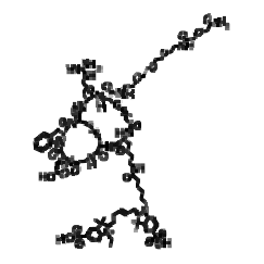 CC[N+]1=C(/C=C/C=C/C=C2/N(CCCCCC(=O)NCCCC[C@@H]3NC(=O)CSC[C@@H](C(=O)NCCOCCOCCOCCNC(=O)COCC(N)=O)NC(=O)[C@H](CCCNC(=N)N)NC(=O)[C@@H]4CSSC[C@H](NC3=O)C(=O)NCC(=O)N[C@@H](CC(=O)O)C(=O)N[C@@H](Cc3ccccc3)C(=O)N4)c3ccc(S(=O)(=O)O)cc3C2(C)C)C(C)(C)c2cc(S(=O)(=O)O)ccc21